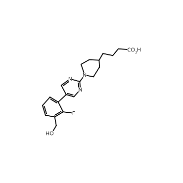 O=C(O)CCCC1CCN(c2ncc(-c3cccc(CO)c3F)cn2)CC1